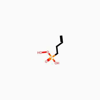 C=CC[CH]P(=O)(O)OO